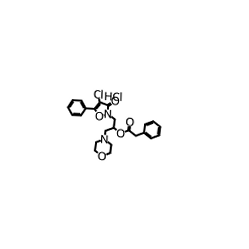 Cl.O=C(Cc1ccccc1)OC(CN1CCOCC1)Cn1oc(-c2ccccc2)c(Cl)c1=O